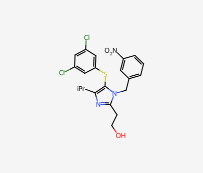 CC(C)c1nc(CCO)n(Cc2cccc([N+](=O)[O-])c2)c1Sc1cc(Cl)cc(Cl)c1